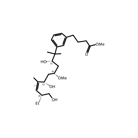 CC[C@H](/C=C(/C)[C@@H](O)C[C@H](C[C@H](O)C(C)(C)c1cccc(CCCC(=O)OC)c1)OC)CO